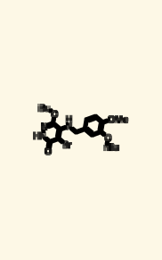 CCCCOc1cc(CNc2c(OC(C)CC)n[nH]c(=O)c2Br)ccc1OC